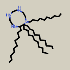 CCCCCCCCCCC1NCCNCCNCCN(CCCCCCCCCC)C1(CCCCCCCCCC)CCCCCCCCCC